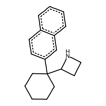 c1ccc2cc(C3(C4CCN4)CCCCC3)ccc2c1